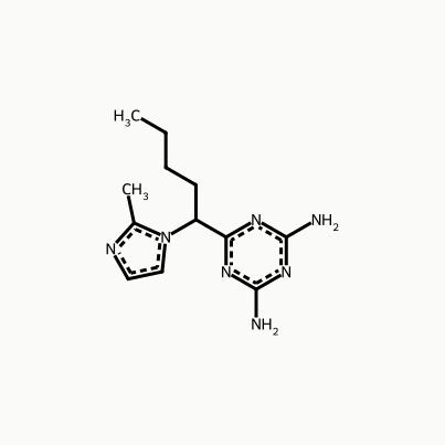 CCCCC(c1nc(N)nc(N)n1)n1ccnc1C